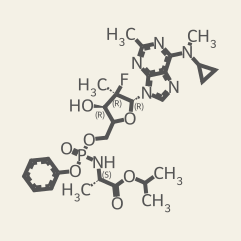 Cc1nc(N(C)C2CC2)c2ncn([C@@H]3OC(COP(=O)(N[C@@H](C)C(=O)OC(C)C)Oc4ccccc4)[C@@H](O)[C@@]3(C)F)c2n1